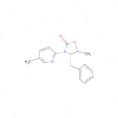 Cc1ccc(N2C(=O)OC(C)[C@@H]2Cc2ccccc2)nc1